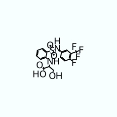 O=C(O)C(CO)Nc1ccccc1S(=O)(=O)Nc1ccc(F)c(C(F)(F)F)c1